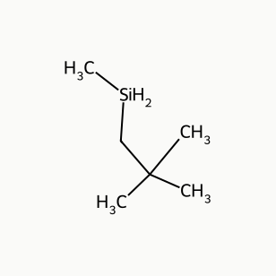 C[SiH2]CC(C)(C)C